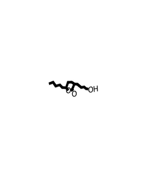 CCCCCC1CCC(CCCCO)C(=O)O1